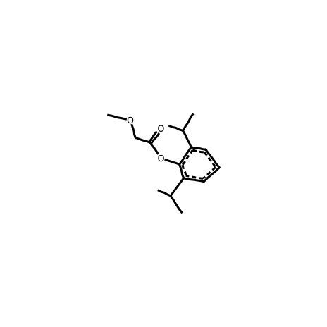 COCC(=O)Oc1c(C(C)C)cccc1C(C)C